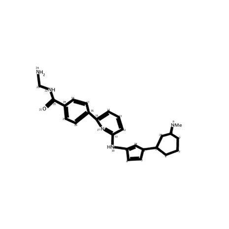 CNC1CCCC(C2C=CC(Nc3cccc(-c4ccc(C(=O)NCN)cc4)n3)=C2)C1